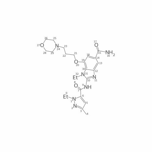 CCn1nc(C)cc1C(=O)Nc1nc2cc(C(N)=O)cc(OCCCN3CCOCC3)c2n1CC